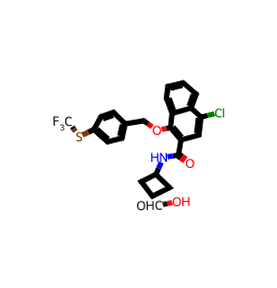 O=C(NC1CCC1)c1cc(Cl)c2ccccc2c1OCc1ccc(SC(F)(F)F)cc1.O=CO